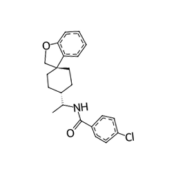 CC(NC(=O)c1ccc(Cl)cc1)[C@H]1CC[C@@]2(CC1)COc1ccccc12